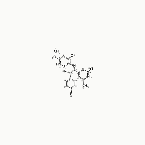 COc1cc(=O)c2nc(-c3cc(C)nc(Cl)c3)c(-c3ccc(F)cc3)nc2[nH]1